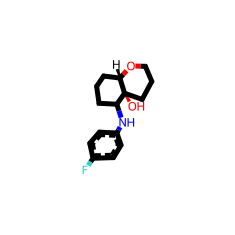 O[C@]12CCCO[C@H]1CCCC2Nc1ccc(F)cc1